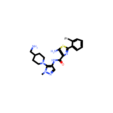 CC(C)c1ccccc1-c1nc(C(=O)Nc2cnn(C)c2N2CCC(CN)CC2)c(N)s1